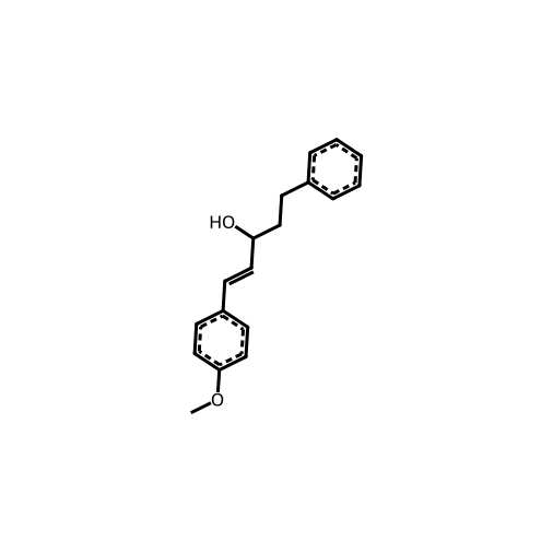 COc1ccc(/C=C/C(O)CCc2ccccc2)cc1